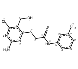 Nc1nc(Cl)c(CO)c(SCC(=O)Nc2cccc(C(F)(F)F)c2)n1